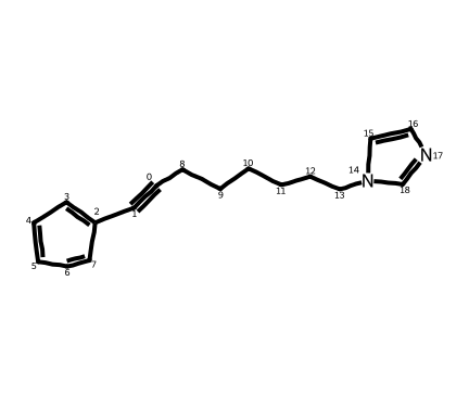 C(#Cc1ccccc1)CCCCCCn1ccnc1